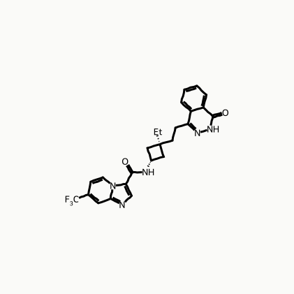 CC[C@]1(CCc2n[nH]c(=O)c3ccccc23)C[C@H](NC(=O)c2cnc3cc(C(F)(F)F)ccn23)C1